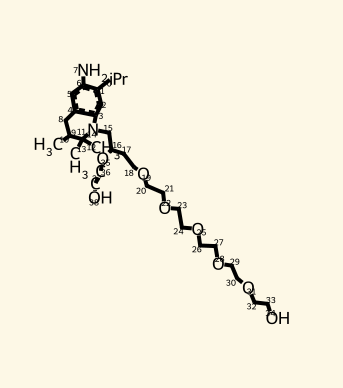 CC(C)c1cc2c(cc1N)CC(C)C(C)(C)N2CC(CCOCCOCCOCCOCCOCCO)OCCO